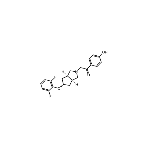 O=C(CN1C[C@H]2C[C@@H](Oc3c(F)cccc3F)C[C@H]2C1)c1ccc(O)cc1